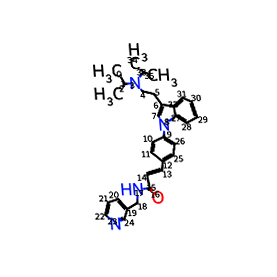 CC(C)N(CCc1cn(-c2ccc(/C=C/C(=O)NCc3cccnc3)cc2)c2ccccc12)C(C)C